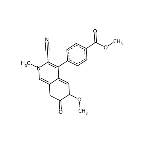 COC(=O)c1ccc(C2=C(C#N)N(C)C=C3CC(=O)C(OC)C=C32)cc1